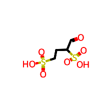 O=CC(CCS(=O)(=O)O)S(=O)(=O)O